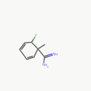 [CH2]C1(C(=N)N)C=CC=CC1F